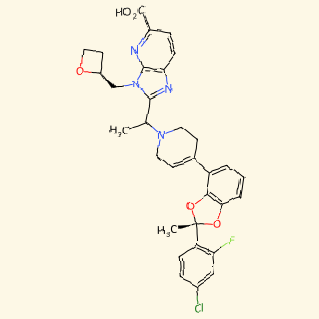 CC(c1nc2ccc(C(=O)O)nc2n1C[C@@H]1CCO1)N1CC=C(c2cccc3c2O[C@@](C)(c2ccc(Cl)cc2F)O3)CC1